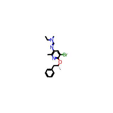 CCN(C)/C=N/c1cc(Br)c(O[C@H](C)Cc2ccccc2)nc1C